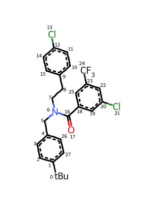 CC(C)(C)c1ccc(CN(CCc2ccc(Cl)cc2)C(=O)c2cc(Cl)cc(C(F)(F)F)c2)cc1